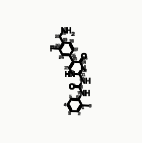 Cc1ccccc1NC(=O)Nc1nc(=O)c(-c2ccc(CN)c(F)c2)c[nH]1